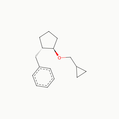 c1ccc(C[C@@H]2CCC[C@H]2OCC2CC2)cc1